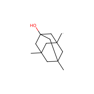 [CH2]C12CC3(C)CC(C)(C1)CC(O)(C2)C3